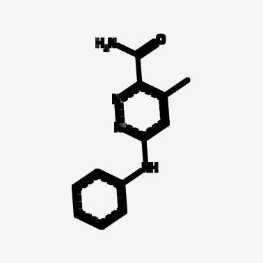 Cc1cc(Nc2ccccc2)nnc1C(N)=O